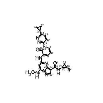 CNc1cc(Nc2cccn(-c3ccc(C4CC4)nn3)c2=O)nc2c(C(=O)N[C@H]3C[C@H]3F)cnn12